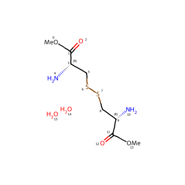 COC(=O)[C@@H](N)CSSC[C@H](N)C(=O)OC.O.O